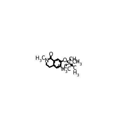 CN1CCc2ccc(O[Si](C)(C)C(C)(C)C)cc2C1=O